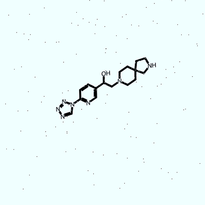 OC(CN1CCC2(CCNC2)CC1)c1ccc(-n2cnnn2)nc1